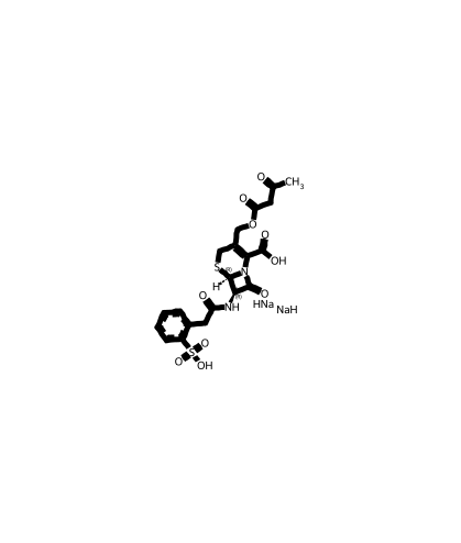 CC(=O)CC(=O)OCC1=C(C(=O)O)N2C(=O)[C@@H](NC(=O)Cc3ccccc3S(=O)(=O)O)[C@H]2SC1.[NaH].[NaH]